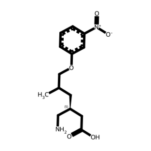 CC(COc1cccc([N+](=O)[O-])c1)C[C@H](CN)CC(=O)O